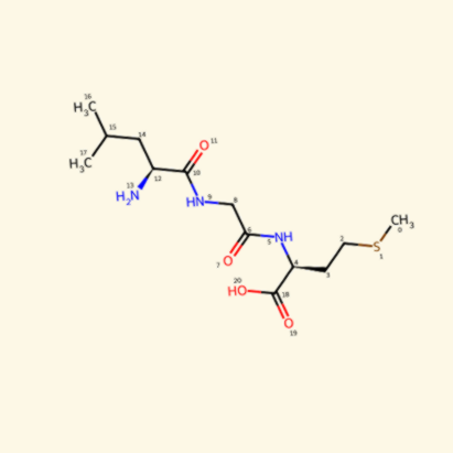 CSCC[C@H](NC(=O)CNC(=O)[C@@H](N)CC(C)C)C(=O)O